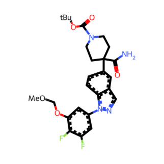 COCOc1cc(-n2ncc3cc(C4(C(N)=O)CCN(C(=O)OC(C)(C)C)CC4)ccc32)cc(F)c1F